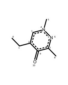 CCc1cn(C)nc(C)c1=O